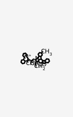 C=Cc1c(C=C(C)C2C3[n+]4ccccc4-c4ccccc4C23C)n2c3ccc(C)cc3c3c4c(cc1c32)oc1ccccc14